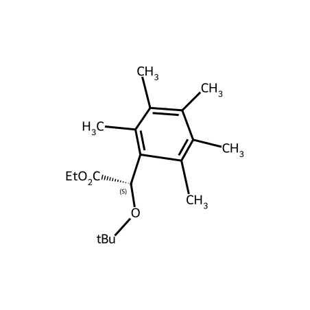 CCOC(=O)[C@@H](OC(C)(C)C)c1c(C)c(C)c(C)c(C)c1C